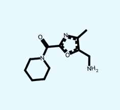 Cc1nc(C(=O)N2CCCCC2)oc1CN